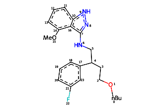 CCCCOCCC(CNc1n[nH]c2cccc(OC)c12)c1cccc(F)c1